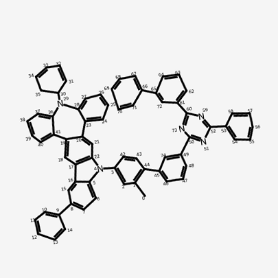 Cc1cc(-n2c3ccc(-c4ccccc4)cc3c3cc4c(cc32)-c2ccccc2N(C2C=CC=CC2)c2ccccc2-4)ccc1-c1cccc(-c2nc(-c3ccccc3)nc(-c3cccc(-c4ccccc4)c3)n2)c1